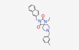 CCN1C(=O)N(Cc2ccc3ccccc3c2)C(=O)C12CCN(Cc1cccc(C)c1)CC2